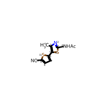 CC(=O)Nc1nc(C)c(-c2ccc(C#N)s2)s1